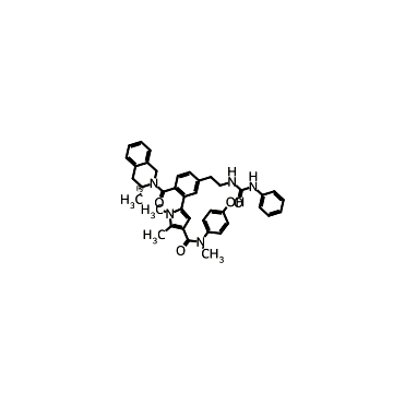 Cc1c(C(=O)N(C)c2ccc(O)cc2)cc(-c2cc(CCNC(=O)Nc3ccccc3)ccc2C(=O)N2Cc3ccccc3C[C@H]2C)n1C